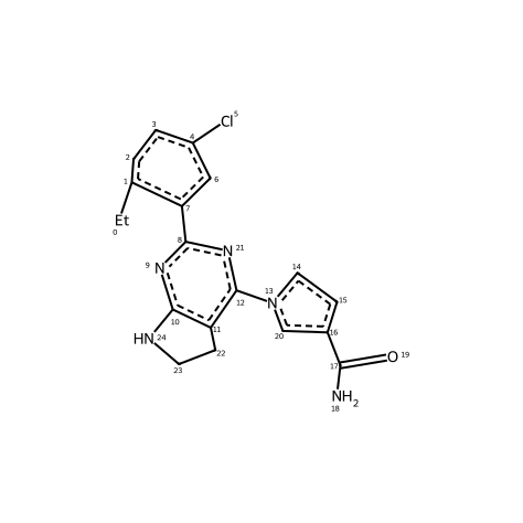 CCc1ccc(Cl)cc1-c1nc2c(c(-n3ccc(C(N)=O)c3)n1)CCN2